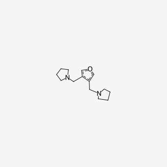 c1occ(CN2CCCC2)c1CN1CCCC1